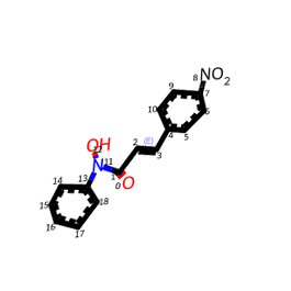 O=C(/C=C/c1ccc([N+](=O)[O-])cc1)N(O)c1ccccc1